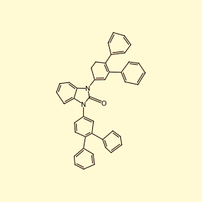 O=c1n(C2=CC(c3ccccc3)=C(c3ccccc3)CC2)c2ccccc2n1-c1ccc(-c2ccccc2)c(-c2ccccc2)c1